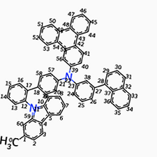 Cc1ccc2c3ccccc3n(-c3ccccc3-c3ccc(N(c4cccc(-c5cccc6ccccc56)c4)c4ccc5c6ccccc6c6ccccc6c5c4)cc3)c2c1